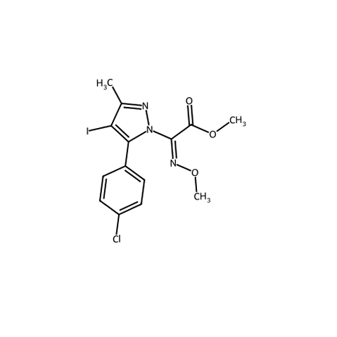 CON=C(C(=O)OC)n1nc(C)c(I)c1-c1ccc(Cl)cc1